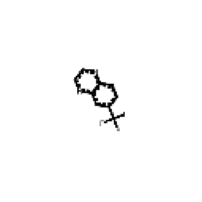 FC(F)(F)c1ccc2n[c]cnc2c1